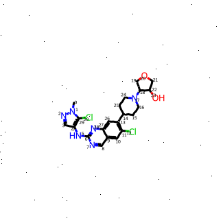 Cn1ncc(Nc2ncc3cc(Cl)c(C4CCN(C5COCC5O)CC4)cc3n2)c1Cl